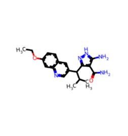 CCOc1ccc2cc(C(c3n[nH]c(N)c3C(N)=O)C(C)C)cnc2c1